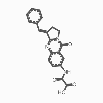 O=C(O)C(=O)Nc1ccc2nc3n(c(=O)c2c1)CCC3=Cc1ccccc1